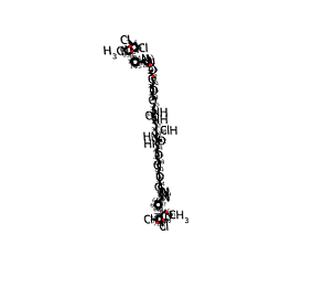 CN1Cc2c(Cl)cc(Cl)cc2[C@H](c2cccc(-c3cc(OCCOCCOCCOCCNC(=O)NCCCCNC(=O)NCCOCCOCCOCCOc4cc(-c5cccc([C@@H]6CN(C)Cc7c(Cl)cc(Cl)cc76)c5)ncn4)ncn3)c2)C1.Cl